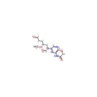 COC(CCC=O)CN(C=O)c1cnc2c(n1)NC(=O)CO2